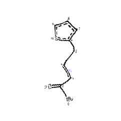 CC(C)(C)C(=O)/C=C/Cc1cccs1